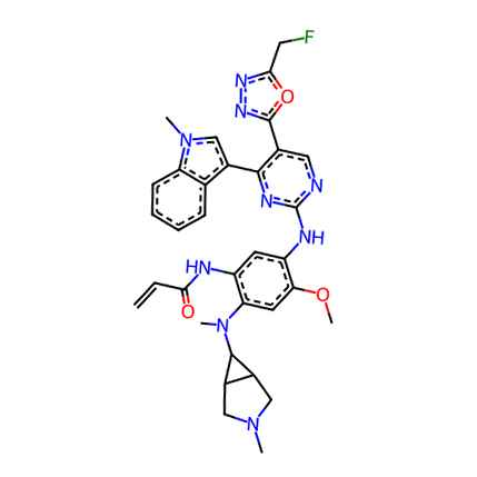 C=CC(=O)Nc1cc(Nc2ncc(-c3nnc(CF)o3)c(-c3cn(C)c4ccccc34)n2)c(OC)cc1N(C)C1C2CN(C)CC21